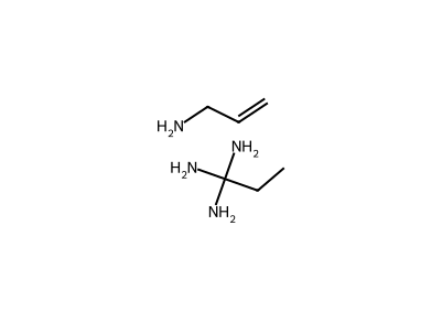 C=CCN.CCC(N)(N)N